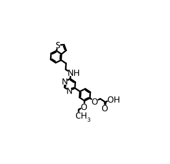 CCOc1cc(-c2cc(NCCc3cccc4sccc34)ncn2)ccc1OCC(=O)O